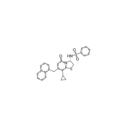 O=c1cc(Cc2cccc3ccccc23)c(C2CC2)c2n1[C@H](NS(=O)(=O)c1ccccc1)CS2